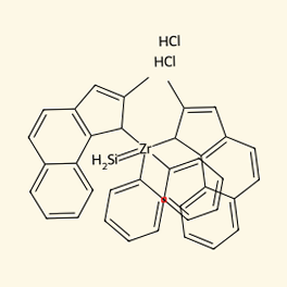 CC1=Cc2ccc3ccccc3c2[CH]1[Zr](=[SiH2])([c]1ccccc1)([c]1ccccc1)[CH]1C(C)=Cc2ccc3ccccc3c21.Cl.Cl